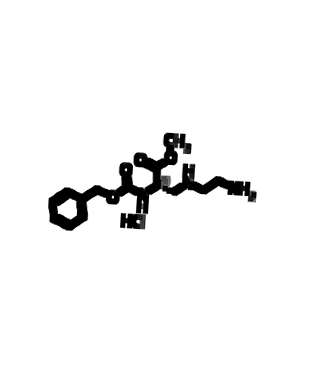 COC(=O)[C@H](CNCCN)NC(=O)OCc1ccccc1.Cl